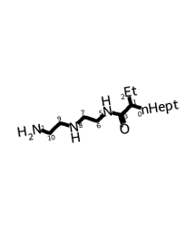 CCCCCCCC(CC)C(=O)NCCNCCN